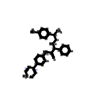 C/C=N\C(=C/C(C)=O)c1ccc(NC(=O)C(NCC(C)c2ccc(C#N)cc2)c2ccccc2)nc1